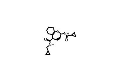 O=C(NC1C#CC(C(=O)NCC2CC2)C2=C(CCCC2)S1)C1CC1